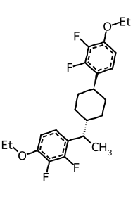 CCOc1ccc(C(C)[C@H]2CC[C@H](c3ccc(OCC)c(F)c3F)CC2)c(F)c1F